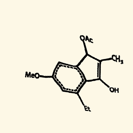 CCc1cc(OC)cc2c1C(O)=C(C)C2OC(C)=O